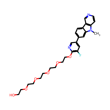 Cn1c2ccncc2c2ccc(-c3cnc(OCCOCCOCCOCCOCCO)c(F)c3)cc21